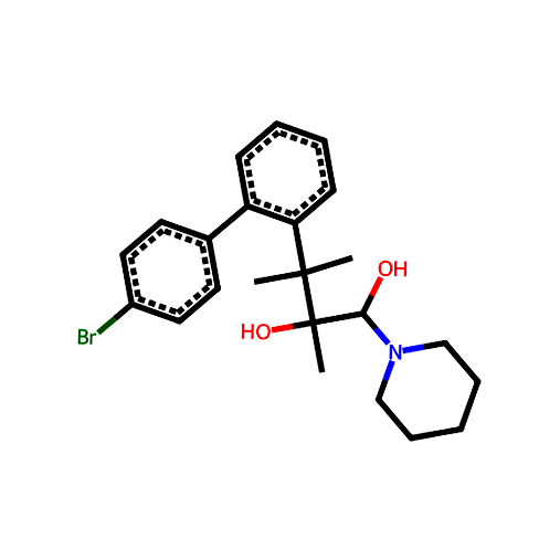 CC(C)(c1ccccc1-c1ccc(Br)cc1)C(C)(O)C(O)N1CCCCC1